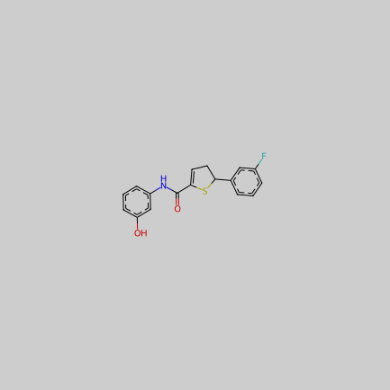 O=C(Nc1cccc(O)c1)C1=CCC(c2cccc(F)c2)S1